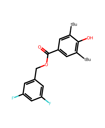 CC(C)(C)c1cc(C(=O)OCc2cc(F)cc(F)c2)cc(C(C)(C)C)c1O